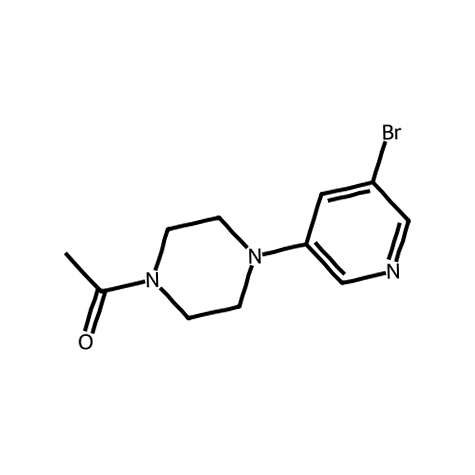 CC(=O)N1CCN(c2cncc(Br)c2)CC1